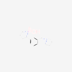 CB(O)N1CCCC1c1cccc(CN2CCCC2)c1